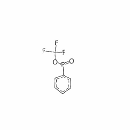 O=[P](OC(F)(F)F)c1ccccc1